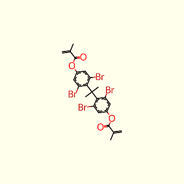 C=C(C)C(=O)Oc1cc(Br)c(C(C)(C)c2c(Br)cc(OC(=O)C(=C)C)cc2Br)c(Br)c1